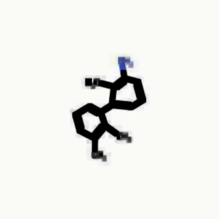 Cc1cccc(-c2cccc(N)c2C)c1C